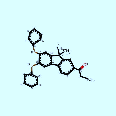 CCC(=O)c1ccc2c(c1)C(C)(C)c1cc(Sc3ccccc3)c(Sc3ccccc3)cc1-2